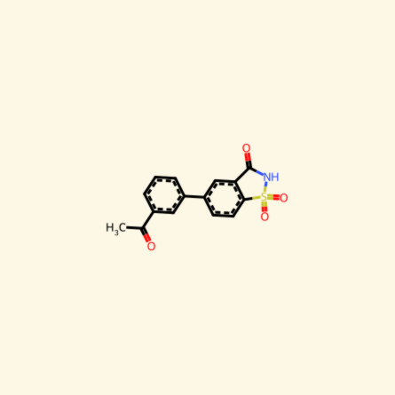 CC(=O)c1cccc(-c2ccc3c(c2)C(=O)NS3(=O)=O)c1